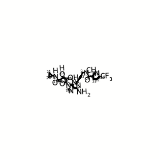 CN(CC#Cc1nc(N)c2ncn([C@@H]3O[C@H](C(=O)NC4CC4)[C@@H](O)[C@H]3O)c2n1)C(=O)c1ccc(C(F)(F)F)nc1